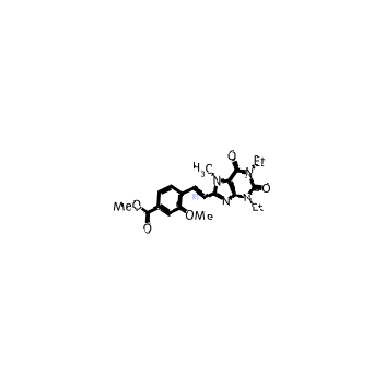 CCn1c(=O)c2c(nc(/C=C/c3ccc(C(=O)OC)cc3OC)n2C)n(CC)c1=O